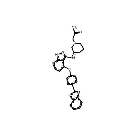 CC(=O)CN1CCC[C@@H](Nc2n[nH]c3nccc(Oc4ccc(-c5nc6ccccc6s5)cc4)c23)C1